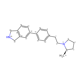 C[C@@H]1CCCN1CCc1ccc(-c2ccc3c(c2)CNC3)cc1